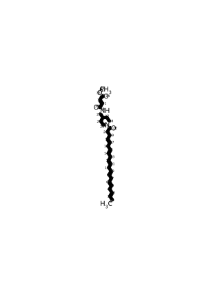 CCC=CCC=CCC=CCC=CCC=CCC=CCCC(=O)N1CCC(CNC(=O)C=CC(=O)OC)CC1